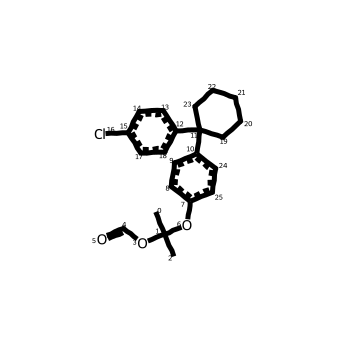 CC(C)(OC=O)Oc1ccc(C2(c3ccc(Cl)cc3)CCCCC2)cc1